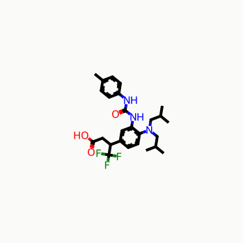 Cc1ccc(NC(=O)Nc2cc(C(CC(=O)O)C(F)(F)F)ccc2N(CC(C)C)CC(C)C)cc1